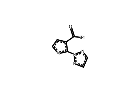 CC(C)C(=O)c1ccsc1-n1nccn1